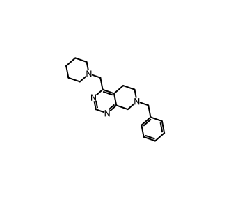 c1ccc(CN2CCc3c(CN4CCCCC4)ncnc3C2)cc1